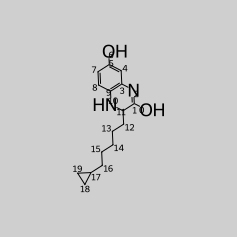 OC1=Nc2cc(O)ccc2NC1CCCCCC1CC1